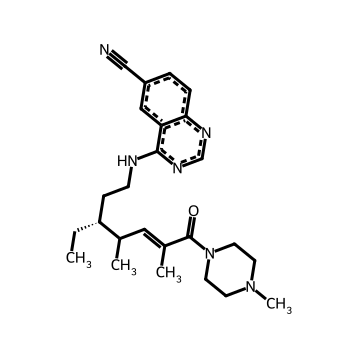 CC[C@H](CCNc1ncnc2ccc(C#N)cc12)C(C)/C=C(\C)C(=O)N1CCN(C)CC1